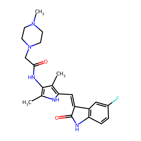 Cc1[nH]c(/C=C2\C(=O)Nc3ccc(F)cc32)c(C)c1NC(=O)CN1CCN(C)CC1